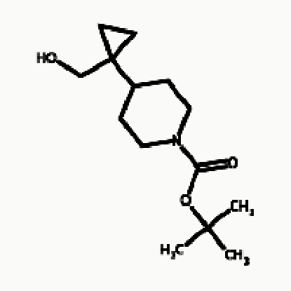 CC(C)(C)OC(=O)N1CCC(C2(CO)CC2)CC1